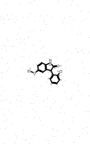 CCOc1ccc2c(c1)C(c1ccccc1Cl)C(=O)N2